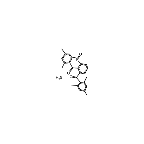 Cc1cc(C)c(C(=O)c2cccc(P=O)c2C(=O)c2c(C)cc(C)cc2C)c(C)c1.S